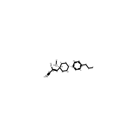 CCCc1ccc([C@H]2CC[C@@](C=C(F)C#N)(OC)CC2)cc1